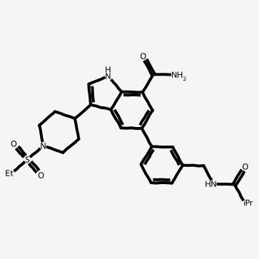 CCS(=O)(=O)N1CCC(c2c[nH]c3c(C(N)=O)cc(-c4cccc(CNC(=O)C(C)C)c4)cc23)CC1